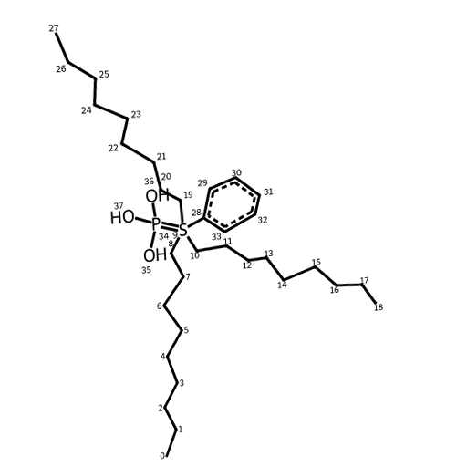 CCCCCCCCCS(CCCCCCCCC)(CCCCCCCCC)(c1ccccc1)=P(O)(O)O